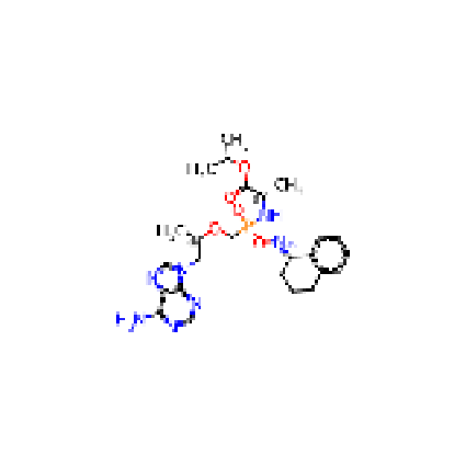 CC(C)OC(=O)[C@H](C)NP(=O)(CO[C@H](C)Cn1cnc2c(N)ncnc21)O/N=C1\CCCc2ccccc21